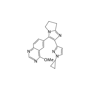 COc1ncnc2ccc(-c3c(-c4ccn(C5CC5)n4)nc4n3CCC4)cc12